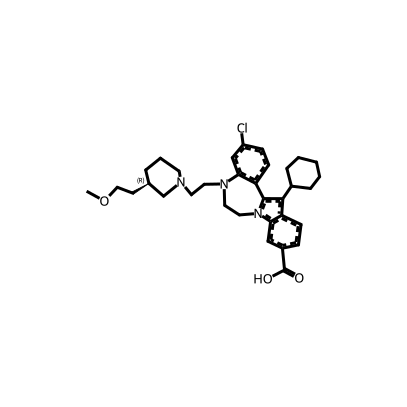 COCC[C@H]1CCCN(CCN2CCn3c(c(C4CCCCC4)c4ccc(C(=O)O)cc43)-c3ccc(Cl)cc32)C1